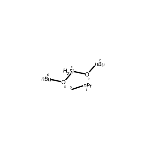 CCCC.CCCCO[SiH2]OCCCC